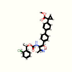 COC(=O)C1(c2ccc(-c3ccc(-c4onc(C)c4NC(=O)O[C@H](C)c4ccccc4Cl)cc3)cc2)CC1